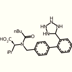 CCCCC(=O)N(Cc1ccc(-c2ccccc2C2NNNN2)cc1)[C@H](C(=O)O)C(C)C